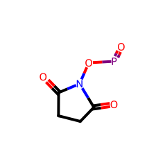 O=PON1C(=O)CCC1=O